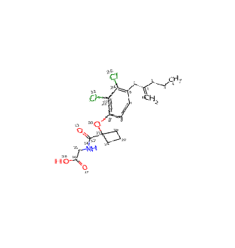 C=C(CCC)Cc1ccc(OC2(C(=O)NCC(=O)O)CCC2)c(Cl)c1Cl